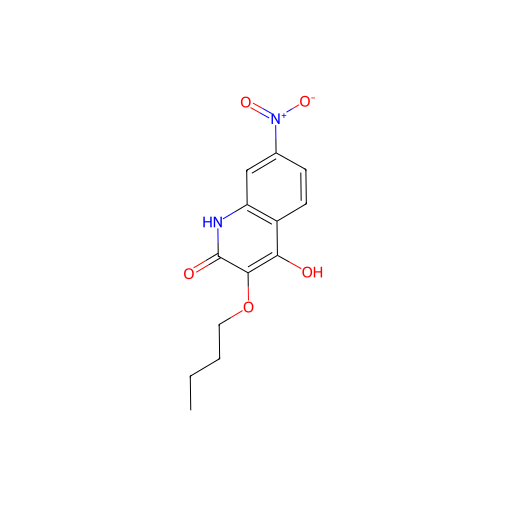 CCCCOc1c(O)c2ccc([N+](=O)[O-])cc2[nH]c1=O